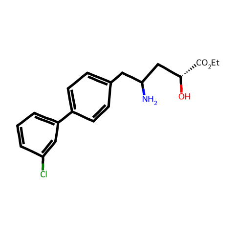 CCOC(=O)[C@H](O)CC(N)Cc1ccc(-c2cccc(Cl)c2)cc1